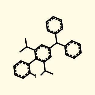 CC(C)c1cc(C(c2ccccc2)c2ccccc2)cc(C(C)C)c1-c1ccccc1I